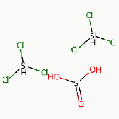 Cl[SiH](Cl)Cl.Cl[SiH](Cl)Cl.O=[Si](O)O